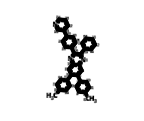 Cc1ccc(-c2cc3nc(-c4ccccc4)c(-c4ccc(-c5cccnc5)cc4)nc3cc2-c2ccc(C)cc2)cc1